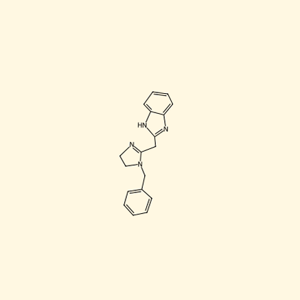 c1ccc(CN2CCN=C2Cc2nc3ccccc3[nH]2)cc1